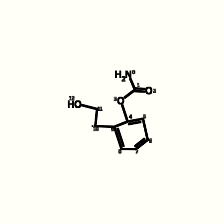 NC(=O)Oc1ccccc1[CH]CO